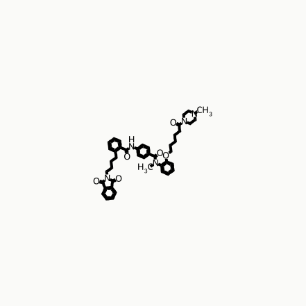 CN1CCN(C(=O)CCCCCOc2ccccc2N(C)C(=O)c2ccc(NC(=O)c3ccccc3CCCCN3C(=O)c4ccccc4C3=O)cc2)CC1